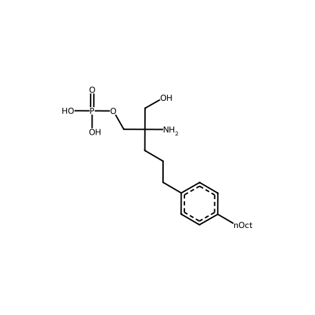 CCCCCCCCc1ccc(CCCC(N)(CO)COP(=O)(O)O)cc1